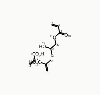 C=C(C)C(=O)O.C=CC(=O)O.C=CC(=O)OCC(C)O